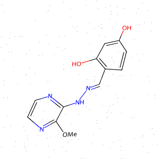 COc1nccnc1NN=Cc1ccc(O)cc1O